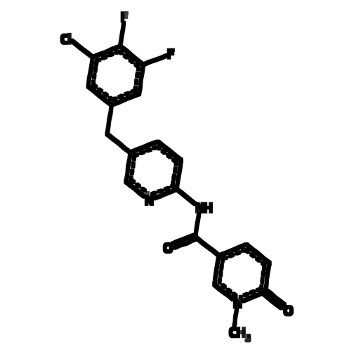 Cn1cc(C(=O)Nc2ccc(Cc3cc(F)c(F)c(Cl)c3)cn2)ccc1=O